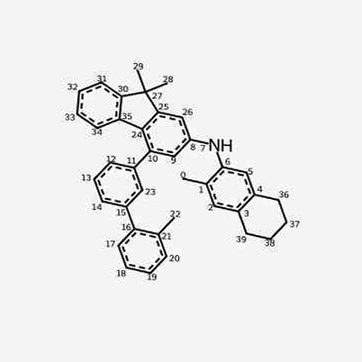 Cc1cc2c(cc1Nc1cc(-c3cccc(-c4ccccc4C)c3)c3c(c1)C(C)(C)c1ccccc1-3)CCCC2